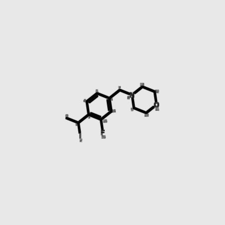 CC(I)c1ccc(CN2CCOCC2)cc1F